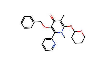 Cc1c(OC2CCCCO2)n(C)c(-c2ccccn2)c(OCc2ccccc2)c1=O